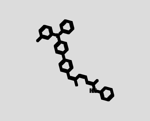 CC(/C=C\C=C(/C)NC1=CC=CCC1)=C/c1ccc(-c2ccc(N(c3ccccc3)c3cccc(C)c3)cc2)cc1